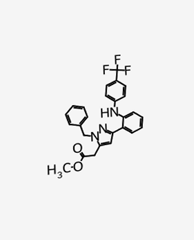 COC(=O)Cc1cc(-c2ccccc2Nc2ccc(C(F)(F)F)cc2)nn1Cc1ccccc1